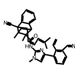 C=Cc1c(C=N)cccc1-c1cn(C)c(NC(=O)C2(C)CC3(C#N)C(C)=C(/C=C\C=C(C)C)C2c2ccccc23)n1